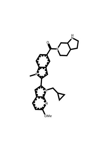 COc1ccc2cc(-c3cc4cc(C(=O)N5CCC6CCNC6C5)ccc4n3C)n(CC3CC3)c2n1